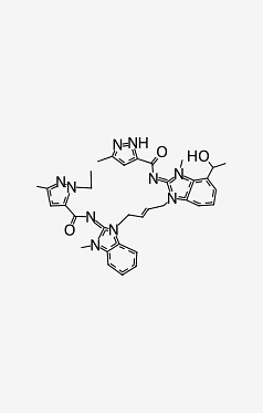 CCn1nc(C)cc1C(=O)/N=c1\n(C)c2ccccc2n1C/C=C/Cn1/c(=N/C(=O)c2cc(C)n[nH]2)n(C)c2c(C(C)O)cccc21